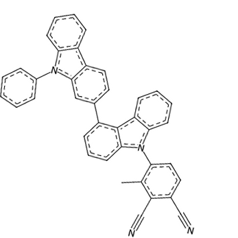 Cc1c(-n2c3ccccc3c3c(-c4ccc5c6ccccc6n(-c6ccccc6)c5c4)cccc32)ccc(C#N)c1C#N